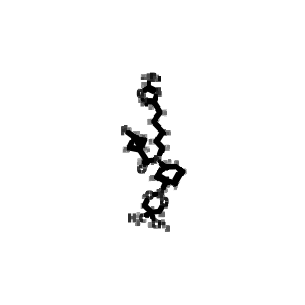 CC1(C)COB(c2cccc(N(CCCCCc3noc(C(C)(C)C)n3)C(=O)C34CC(F)(C3)C4)c2)OC1